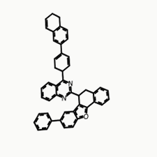 C1=Cc2cc(C3=CCC(c4nc(C5Cc6ccccc6-c6oc7ccc(-c8ccccc8)cc7c65)nc5ccccc45)C=C3)ccc2CC1